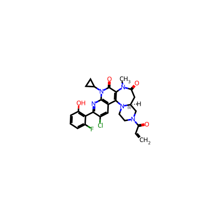 C=CC(=O)N1CCN2c3c(c(=O)n(C4CC4)c4nc(-c5c(O)cccc5F)c(Cl)cc34)N(C)C(=O)C[C@H]2C1